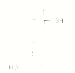 BC(C)(C)CCC(=O)O